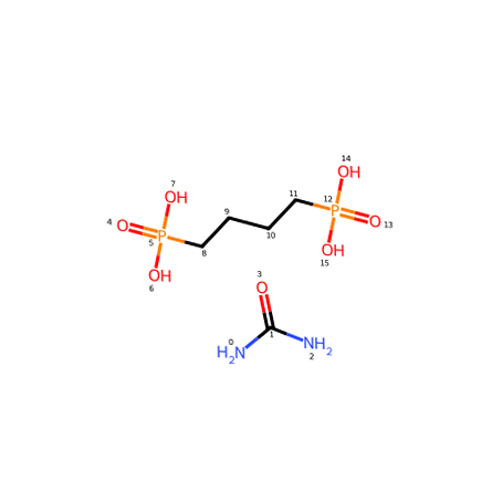 NC(N)=O.O=P(O)(O)CCCCP(=O)(O)O